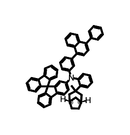 CC1(c2ccccc2N(c2cccc(-c3ccc(-c4ccccc4)c4ccccc34)c2)c2ccc3c(c2)C2(c4ccccc4-c4ccccc42)c2ccccc2-3)C[C@@H]2CC[C@@H](C2)C1